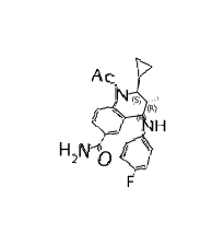 CC(=O)N1c2ccc(C(N)=O)cc2[C@H](Nc2ccc(F)cc2)[C@@H](C)[C@@H]1C1CC1